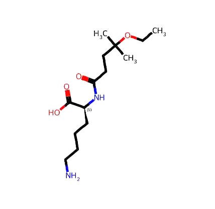 CCOC(C)(C)CCC(=O)N[C@@H](CCCCN)C(=O)O